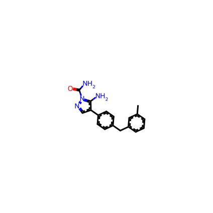 Cc1cccc(Cc2ccc(-c3cnn(C(N)=O)c3N)cc2)c1